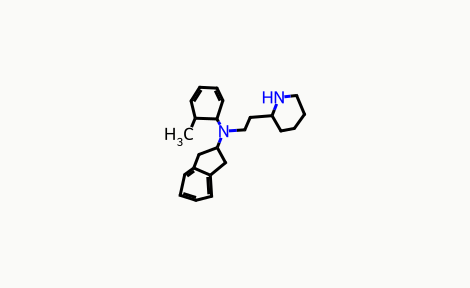 CC1C=CC=CC1N(CCC1CCCCN1)C1Cc2ccccc2C1